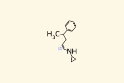 CC(C/C=C\NC1CC1)c1ccccc1